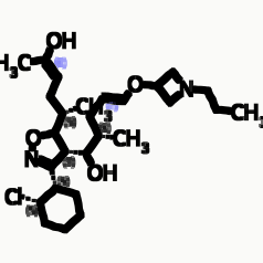 CCCN1CC(O/C=C/C[C@H](C)C(O)[C@@H]2C([C@@H]3CCCC[C@@H]3Cl)=NOC2[C@@H](C)C/C=C(\C)O)C1